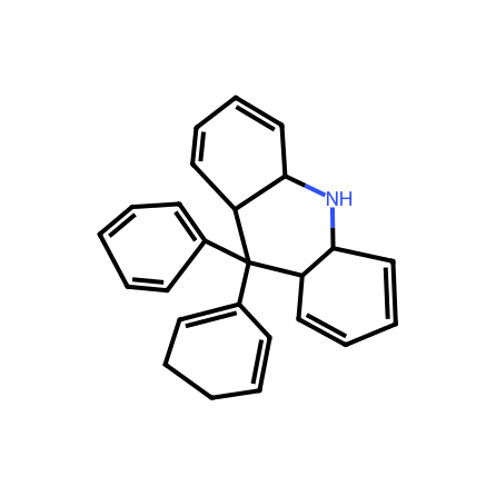 C1=CC2NC3C=CC=CC3C(C3=CCCC=C3)(c3ccccc3)C2C=C1